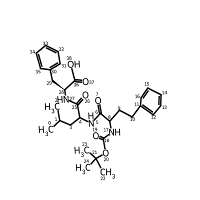 CC(C)CC(NC(=O)C(CCc1ccccc1)NC(=O)OC(C)(C)C)C(=O)N[C@@H](Cc1ccccc1)C(=O)O